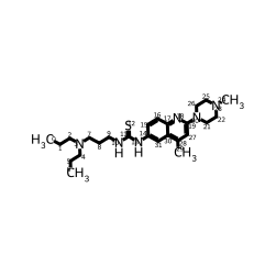 CCCN(CCC)CCCNC(=S)Nc1ccc2nc(N3CCN(C)CC3)cc(C)c2c1